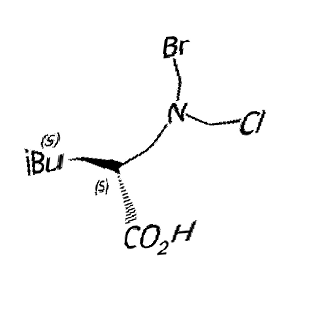 CC[C@H](C)[C@@H](C(=O)O)N(Cl)Br